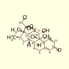 C[C@@H]1C[C@H]2[C@@H]3CCC4=CC(=O)C=C[C@]4(C)[C@@]3(Cl)[C@@H](O)C[C@]2(C)[C@@]1(C)C(=O)CCl